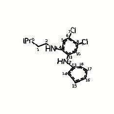 CC(C)CCNc1cc(Cl)c(Cl)cc1Nc1ccccc1